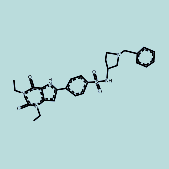 CCn1c(=O)c2[nH]c(-c3ccc(S(=O)(=O)NC4CCN(Cc5ccccc5)C4)cc3)cc2n(CC)c1=O